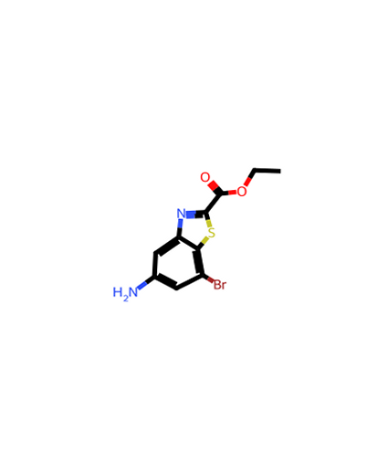 CCOC(=O)c1nc2cc(N)cc(Br)c2s1